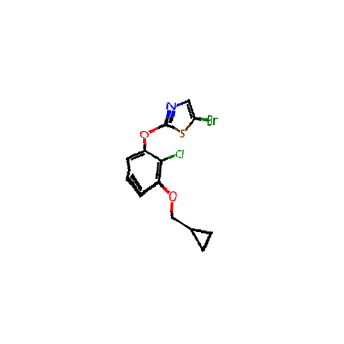 Clc1c(OCC2CC2)cccc1Oc1ncc(Br)s1